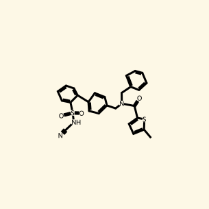 Cc1ccc(C(=O)N(Cc2ccccc2)Cc2ccc(-c3ccccc3S(=O)(=O)NC#N)cc2)s1